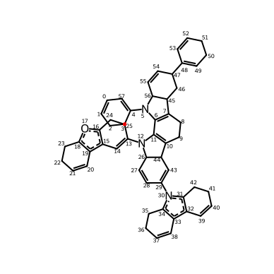 C1=CCCC(N2C3=C(CCC4=C3N(C3=Cc5c(oc6c5C=CCC6)CC3)C3C=CC(n5c6c(c7c5CCC=C7)C=CCC6)=CC43)C3CC(C4=CCCC=C4)C=CC32)=C1